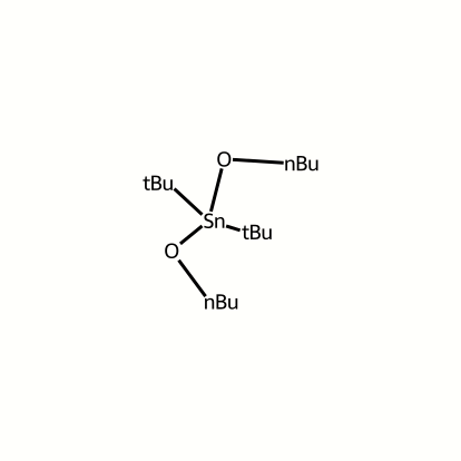 CCCC[O][Sn]([O]CCCC)([C](C)(C)C)[C](C)(C)C